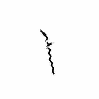 CCCCCCCCCOC(=O)OCC#CI